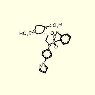 O=C(O)N1CCN(C(=O)O)[C@H](CCN(c2ccc(-n3cccn3)cc2)S(=O)(=O)c2ccccc2[N+](=O)[O-])C1